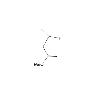 C=C(CC(C)F)OC